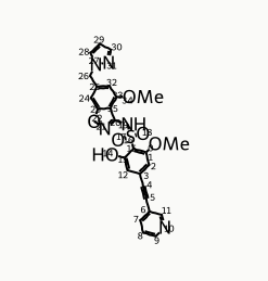 COc1cc(C#Cc2cccnc2)cc(O)c1S(=O)(=O)Nc1noc2cc(Cn3cccn3)cc(OC)c12